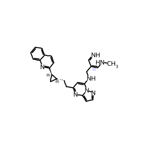 CN/C=C(\C=N)CNc1cc(CC[C@@H]2C[C@H]2c2ccc3ccccc3n2)nc2ccnn12